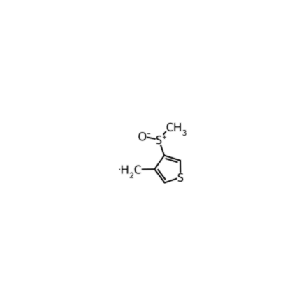 [CH2]c1cscc1[S+](C)[O-]